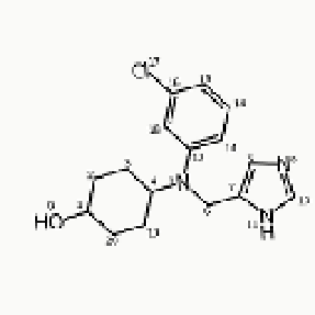 OC1CCC(N(Cc2cnc[nH]2)c2cccc(Cl)c2)CC1